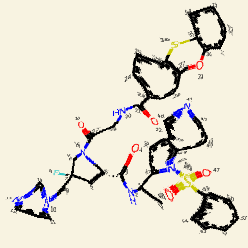 CC(NC(=O)[C@@H]1C[C@](F)(Cn2ccnc2)CN1C(=O)CNC(=O)c1ccc2c(c1)Oc1ccccc1S2)c1cc2cnccc2n1S(=O)(=O)c1ccccc1